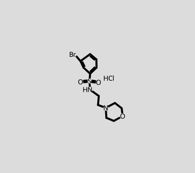 Cl.O=S(=O)(NCCN1CCOCC1)c1cccc(Br)c1